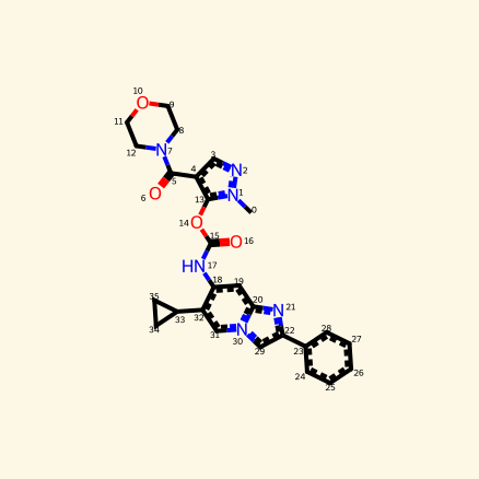 Cn1ncc(C(=O)N2CCOCC2)c1OC(=O)Nc1cc2nc(-c3ccccc3)cn2cc1C1CC1